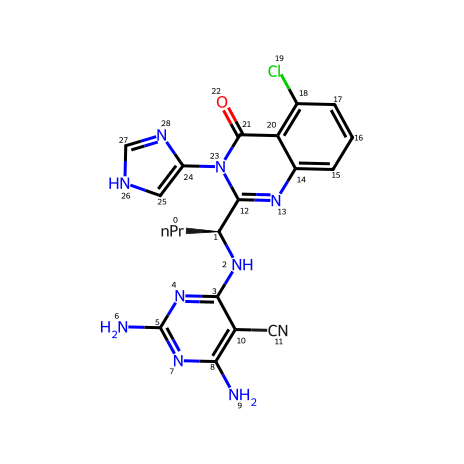 CCC[C@H](Nc1nc(N)nc(N)c1C#N)c1nc2cccc(Cl)c2c(=O)n1-c1c[nH]cn1